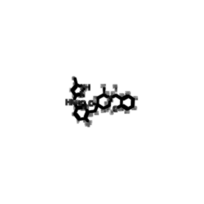 Cc1cc(Nc2ccc(F)c(C[C@@]3(C(=O)O)CCN([C@H](C)c4ccccc4C(F)(F)F)[C@H](C)C3)n2)n[nH]1